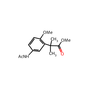 COC(=O)C(C)(C)c1cc(NC(C)=O)ccc1OC